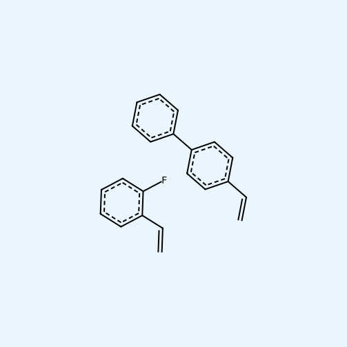 C=Cc1ccc(-c2ccccc2)cc1.C=Cc1ccccc1F